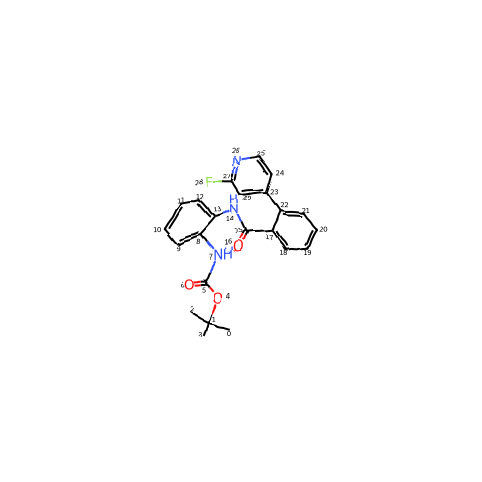 CC(C)(C)OC(=O)Nc1ccccc1NC(=O)c1ccccc1-c1ccnc(F)c1